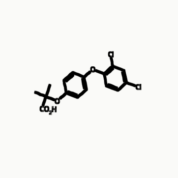 CC(C)(Oc1ccc(Oc2ccc(Cl)cc2Cl)cc1)C(=O)O